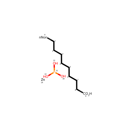 CCCCCCCCCCCCCCCCCC(=O)O.OP(O)O.[Zn]